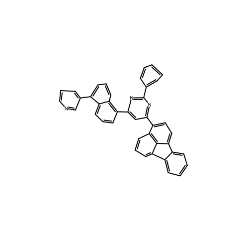 c1ccc(-c2nc(-c3cccc4c(-c5cccnc5)cccc34)cc(-c3ccc4c5c(cccc35)-c3ccccc3-4)n2)cc1